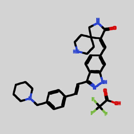 O=C(O)C(F)(F)F.O=C1NCC2(CCNCC2)/C1=C\c1ccc2c(/C=C/c3ccc(CN4CCCCC4)cc3)n[nH]c2c1